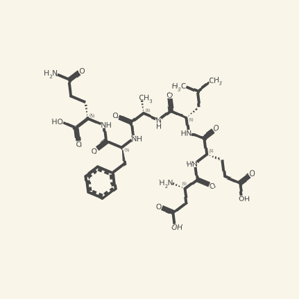 CC(C)C[C@H](NC(=O)[C@H](CCC(=O)O)NC(=O)[C@@H](N)CC(=O)O)C(=O)N[C@@H](C)C(=O)N[C@@H](Cc1ccccc1)C(=O)N[C@@H](CCC(N)=O)C(=O)O